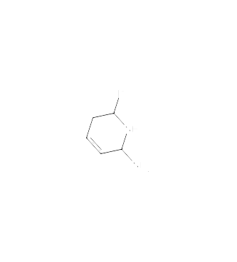 NC1C=CCC(P)N1